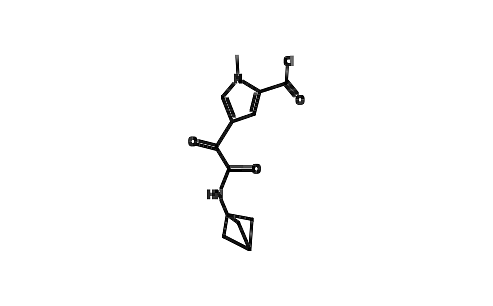 Cn1cc(C(=O)C(=O)NC23CC(C2)C3)cc1C(=O)Cl